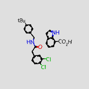 CC(C)(C)c1ccc(CNC(=O)Cc2ccc(Cl)c(Cl)c2)cc1.O=C(O)c1cccc2cc[nH]c12